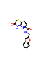 O=C1CSc2ccc(C(=O)NCc3cc4ccccc4o3)nc2N1